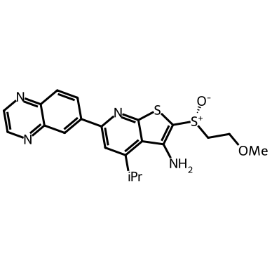 COCC[S@@+]([O-])c1sc2nc(-c3ccc4nccnc4c3)cc(C(C)C)c2c1N